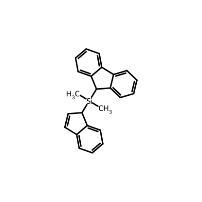 C[Si](C)(C1C=Cc2ccccc21)C1c2ccccc2-c2ccccc21